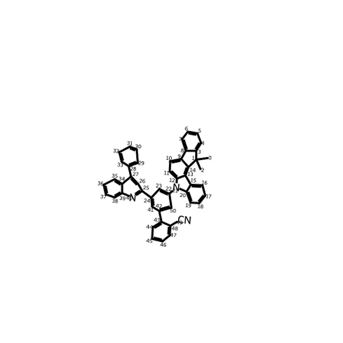 CC1(C)c2ccccc2-c2ccc3c(c21)c1ccccc1n3-c1cc(-c2cc(-c3ccccc3)c3ccccc3n2)cc(-c2ccccc2C#N)c1